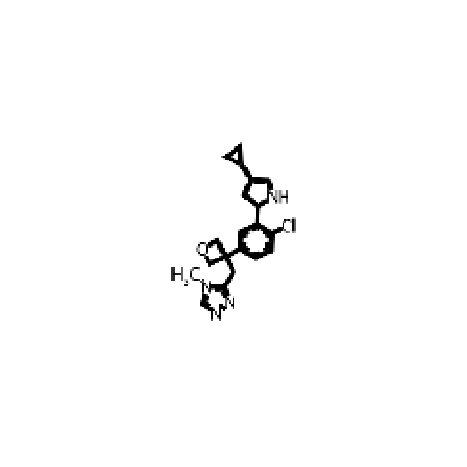 Cn1cnnc1CC1(c2ccc(Cl)c(C3CC(C4CC4)=CN3)c2)COC1